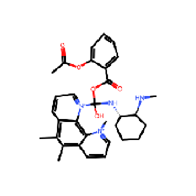 CN[C@H]1CCCC[C@@H]1NC(O)(OC(=O)c1ccccc1OC(C)=O)[n+]1cccc2c(C)c(C)c3ccc[n+](C)c3c21